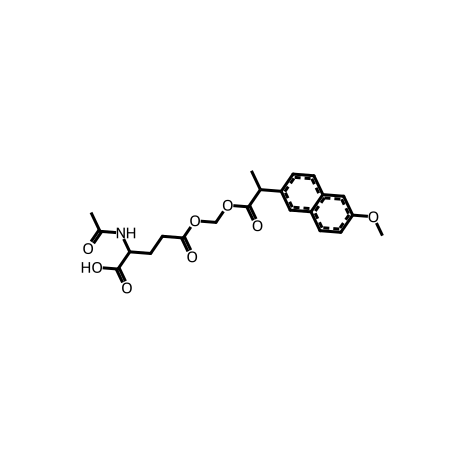 COc1ccc2cc(C(C)C(=O)OCOC(=O)CCC(NC(C)=O)C(=O)O)ccc2c1